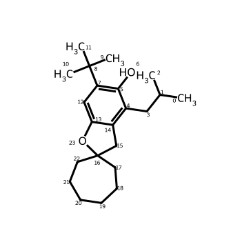 CC(C)Cc1c(O)c(C(C)(C)C)cc2c1CC1(CCCCCC1)O2